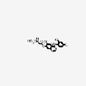 O=C(O)NCCOc1cc2ncnc(Nc3ccc(Cl)cc3Cl)c2cc1[N+](=O)[O-]